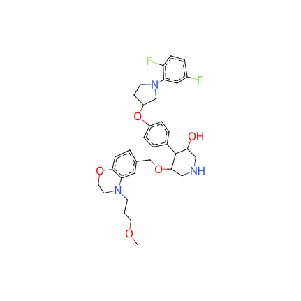 COCCCN1CCOc2ccc(COC3CNCC(O)C3c3ccc(OC4CCN(c5cc(F)ccc5F)C4)cc3)cc21